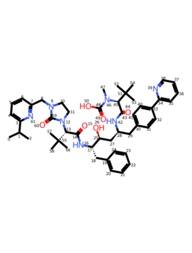 CC(C)c1cccc(CN2CCN([C@H](C(=O)N[C@@H](Cc3ccccc3)[C@@H](O)C[C@H](Cc3ccc(-c4ccccn4)cc3)NC(=O)[C@@H](N(C)C(=O)O)C(C)(C)C)C(C)(C)C)C2=O)n1